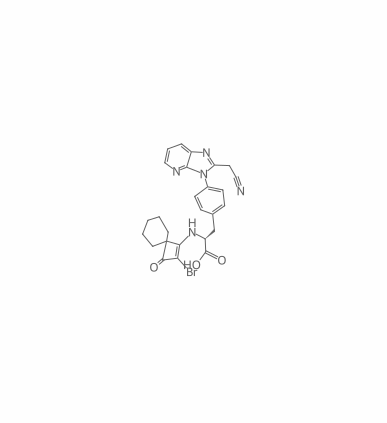 N#CCc1nc2cccnc2n1-c1ccc(C[C@H](NC2=C(Br)C(=O)C23CCCCC3)C(=O)O)cc1